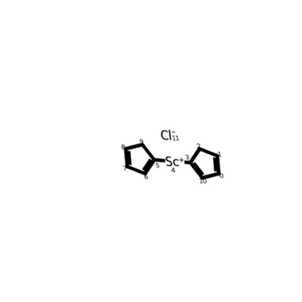 C1=CC[C]([Sc+][C]2=CC=CC2)=C1.[Cl-]